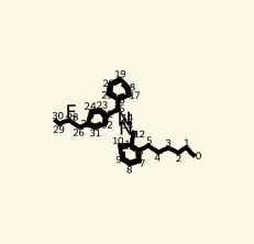 CCCCCCc1ccccc1C=NN=C(c1ccccc1)c1ccc(CC(F)CC)cc1